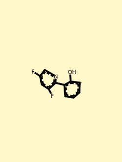 Oc1[c]cccc1-c1ncc(F)cc1F